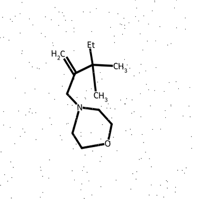 C=C(CN1CCOCC1)C(C)(C)CC